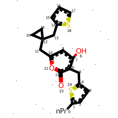 CCCc1ccc(Cc2c(O)cc(CC3(Cc4cccs4)CC3)oc2=O)s1